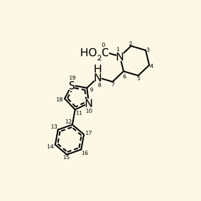 O=C(O)N1CCCCC1CNc1nc(-c2ccccc2)cs1